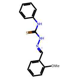 COc1ccccc1/C=N/NC(=S)Nc1ccccc1